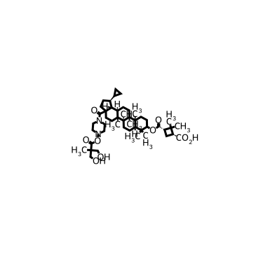 CC(CO)(CO)C(=O)ON1CCN(C(=O)C23CC[C@@H](C4CC4)[C@@H]2[C@H]2CC[C@@]4(C)[C@@](C)(CC[C@H]5C(C)(C)C(OC(=O)[C@H]6C[C@@H](C(=O)O)C6(C)C)CC[C@@]54C)[C@]2(C)CC3)CC1